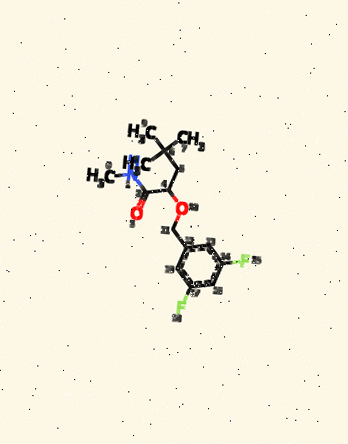 CNC(=O)C(CC(C)(C)C)OCc1cc(F)cc(F)c1